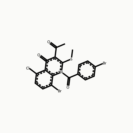 CSc1c(C(C)=O)c(=O)c2c(Cl)ccc(Br)c2n1C(=O)c1ccc(Br)cc1